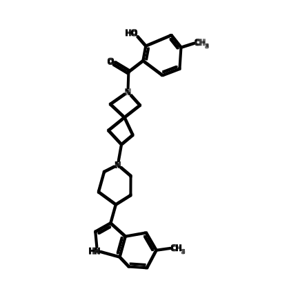 Cc1ccc(C(=O)N2CC3(CC(N4CCC(c5c[nH]c6ccc(C)cc56)CC4)C3)C2)c(O)c1